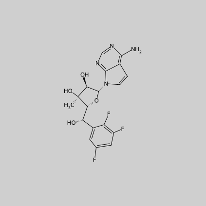 C[C@@]1(O)[C@@H]([C@@H](O)c2cc(F)cc(F)c2F)O[C@@H](n2ccc3c(N)ncnc32)[C@@H]1O